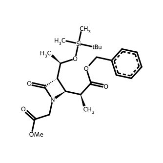 COC(=O)CN1C(=O)[C@H]([C@@H](C)O[Si](C)(C)C(C)(C)C)[C@H]1[C@H](C)C(=O)OCc1ccccc1